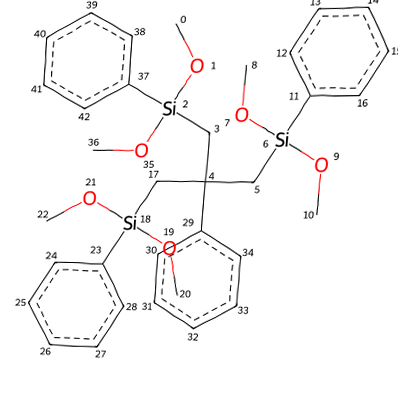 CO[Si](CC(C[Si](OC)(OC)c1ccccc1)(C[Si](OC)(OC)c1ccccc1)c1ccccc1)(OC)c1ccccc1